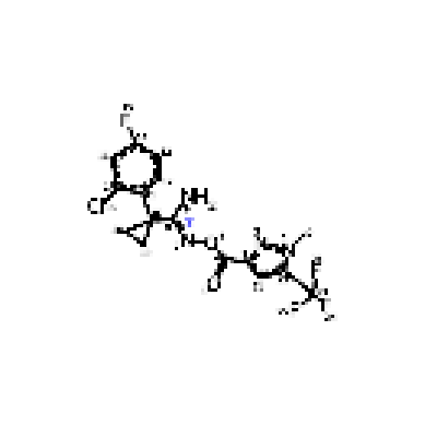 Cn1nc(C(=O)O/N=C(\N)C2(c3ccc(F)cc3Cl)CC2)cc1C(F)(F)F